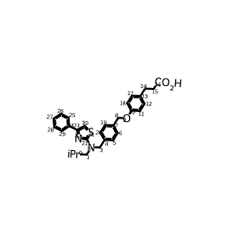 CC(C)CN(Cc1ccc(COc2ccc(CCC(=O)O)cc2)cc1)c1nc(-c2ccccc2)cs1